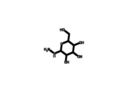 NNC1OC(CO)C(O)C(O)C1O